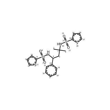 CC(C)(CC(NS(=O)(=O)c1cccs1)c1cc[c]cc1)NS(=O)(=O)c1cccs1